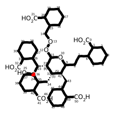 O=C(O)C1CCCCC1CCC1OC(OOCC2CCCCC2C(=O)O)[C@@H](C(OO)C2CCCCC2C(=O)O)[C@@H](CC2CCCCC2C(=O)O)[C@@H]1CC1CCCCC1C(=O)O